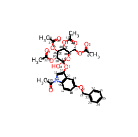 CC(=O)OC[C@H]1O[C@@](O)(Oc2cn(C(C)=O)c3ccc(OCc4ccccc4)cc23)[C@H](OC(C)=O)[C@@H](OC(C)=O)[C@H]1OC(C)=O